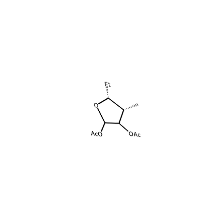 CC[C@H]1OC(OC(C)=O)C(OC(C)=O)[C@H]1C